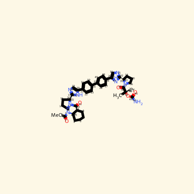 COC(=O)N[C@@H]1CCCC[C@@H]1C(=O)N1CCC[C@H]1c1ncc(-c2ccc(-c3ccc(-c4cnc([C@@H]5CCCN5C(=O)[C@@](C)(OC(N)=O)C(C)C)[nH]4)cc3)cc2)[nH]1